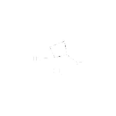 CC1(S)CCC1S